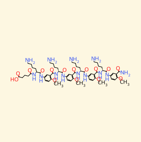 COc1ccc(NC(=O)[C@H](CCCCN)NC(=O)c2cc(NC(=O)[C@H](CCCCN)NC(=O)c3cc(NC(=O)[C@H](CCCCN)NC(=O)c4cc(NC(=O)C(CCCCN)NC(=O)CCCC(=O)O)ccc4OC)ccc3OC)ccc2OC)cc1C(N)=O